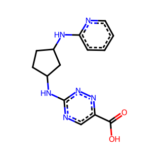 O=C(O)c1cnc(NC2CCC(Nc3ccccn3)C2)nn1